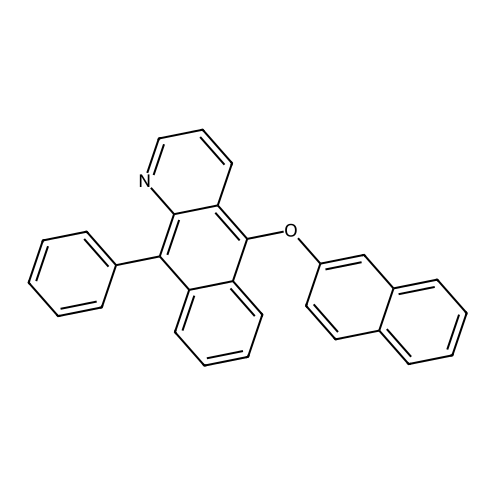 c1ccc(-c2c3ccccc3c(Oc3ccc4ccccc4c3)c3cccnc23)cc1